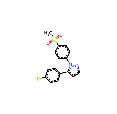 CS(=O)(=O)c1ccc(-n2nccc2-c2ccc(F)cc2)cc1